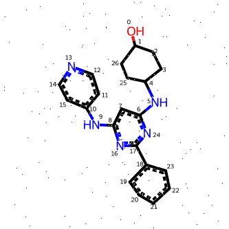 OC1CCC(Nc2cc(Nc3ccncc3)nc(-c3ccccc3)n2)CC1